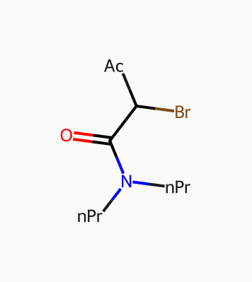 CCCN(CCC)C(=O)C(Br)C(C)=O